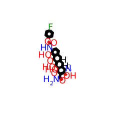 CN(C)[C@@H]1C(O)=C(C(N)=O)C(=O)[C@@]2(O)C(O)=C3C(=O)c4c(ccc(NC(=O)Oc5ccc(F)cc5)c4O)C[C@H]3C[C@@H]12